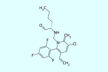 C=CC1=C(c2c(F)cc(F)cc2F)N(CN[C@H](C=O)CCCC)C(=C)C(Cl)=C1